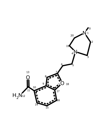 CN1CCN(CCc2cc3c(C(N)=O)cccc3o2)CC1